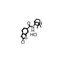 CC1(C)C(NC(=O)c2ccc3cc(Cl)sc3c2)C2CCN1CC2.Cl